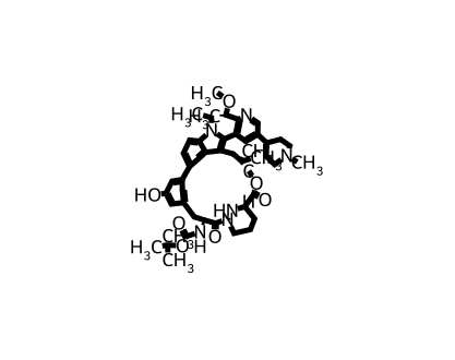 CCn1c(-c2cc(C3CCN(C)CC3)cnc2[C@H](C)OC)c2c3cc(ccc31)-c1cc(O)cc(c1)C[C@H](NC(=O)OC(C)(C)C)C(=O)N1CCC[C@H](N1)C(=O)OCC(C)(C)C2